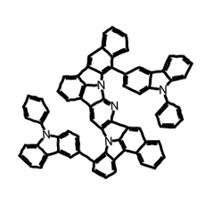 c1ccc(-n2c3ccccc3c3cc(-c4cccc5c6c7ccccc7cc7c8nc9c(cc8n(c45)c76)c4cccc5c6cc7ccccc7c(-c7ccc8c(c7)c7ccccc7n8-c7ccccc7)c6n9c45)ccc32)cc1